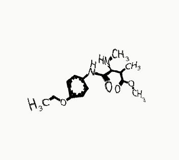 CCOc1ccc(NC(=O)[C@@H](NC)C(C)C(=O)OC)cc1